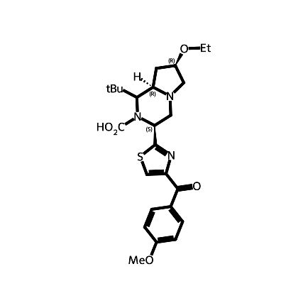 CCO[C@@H]1C[C@@H]2C(C(C)(C)C)N(C(=O)O)[C@H](c3nc(C(=O)c4ccc(OC)cc4)cs3)CN2C1